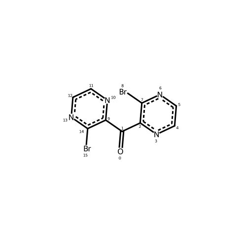 O=C(c1nccnc1Br)c1nccnc1Br